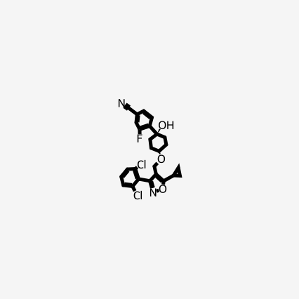 N#Cc1ccc([C@]2(O)CC[C@@H](OCc3c(-c4c(Cl)cccc4Cl)noc3C3CC3)CC2)c(F)c1